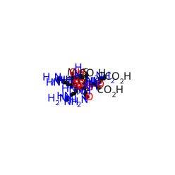 CSCC[C@H](NC(=O)[C@H](CCC(=O)O)NC(=O)[C@@H](N)CCC(=O)O)C(=O)N[C@@H](CCC(N)=O)C(=O)N[C@@H](CCCNC(=N)N)C(=O)N[C@@H](CCCNC(=N)N)C(=O)N[C@@H](CO)C(=O)N[C@@H](CC(=O)O)C(=O)O